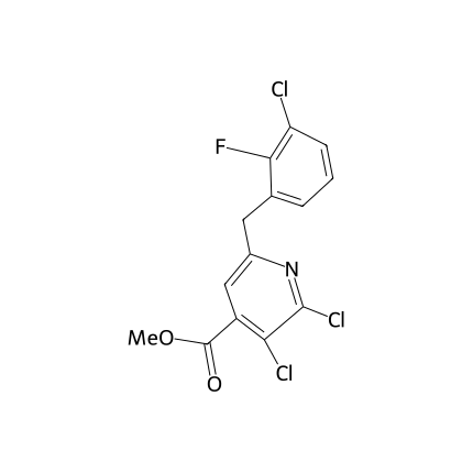 COC(=O)c1cc(Cc2cccc(Cl)c2F)nc(Cl)c1Cl